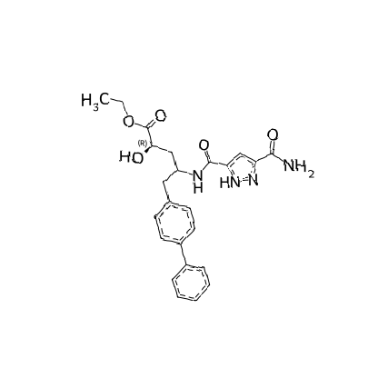 CCOC(=O)[C@H](O)CC(Cc1ccc(-c2ccccc2)cc1)NC(=O)c1cc(C(N)=O)n[nH]1